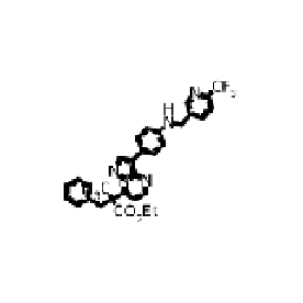 CCOC(=O)C(C)(Cc1ccccc1)c1ccnc2c(-c3ccc(NCc4ccc(C(F)(F)F)nc4)cc3)cnn12